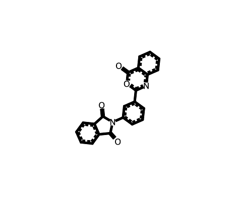 O=C1c2ccccc2C(=O)N1c1cccc(-c2nc3ccccc3c(=O)o2)c1